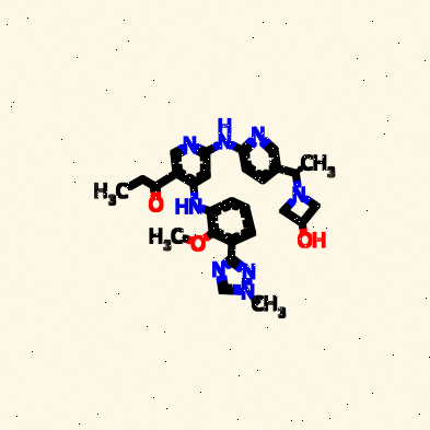 CCC(=O)c1cnc(Nc2ccc([C@H](C)N3CC(O)C3)cn2)cc1Nc1cccc(-c2ncn(C)n2)c1OC